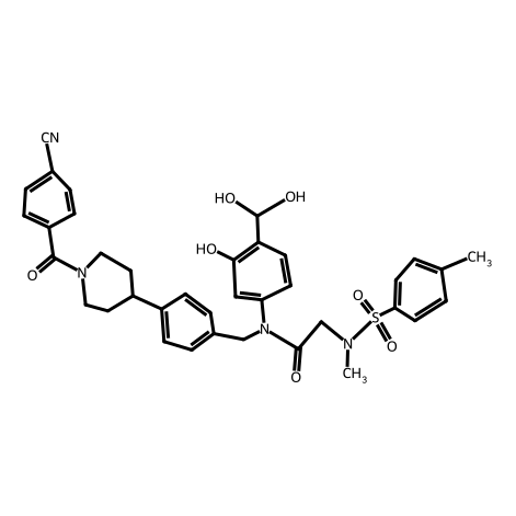 Cc1ccc(S(=O)(=O)N(C)CC(=O)N(Cc2ccc(C3CCN(C(=O)c4ccc(C#N)cc4)CC3)cc2)c2ccc(C(O)O)c(O)c2)cc1